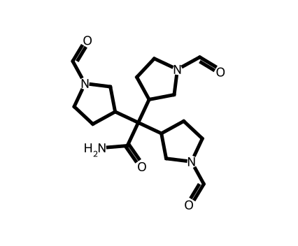 NC(=O)C(C1CCN(C=O)C1)(C1CCN(C=O)C1)C1CCN(C=O)C1